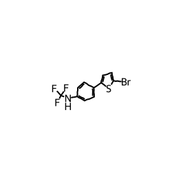 FC(F)(F)Nc1ccc(-c2ccc(Br)s2)cc1